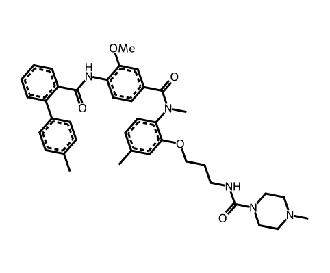 COc1cc(C(=O)N(C)c2ccc(C)cc2OCCCNC(=O)N2CCN(C)CC2)ccc1NC(=O)c1ccccc1-c1ccc(C)cc1